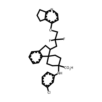 O=C(O)C1(Nc2cccc(Cl)c2)CCC2(CC1)c1ccccc1CC2CC(F)(F)COc1ccnc2c1CCC2